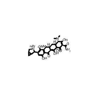 CCCN1CC2CC2C1c1cc(O)c2c(c1OC)C[C@H]1C[C@H]3[C@H](N(C)C)C(O)=C(C(N)=O)C(=O)[C@@]3(O)C(O)=C1C2=O